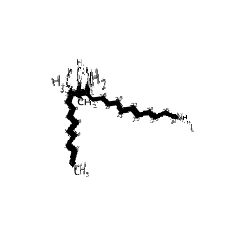 CC=CCCC=CCCC=C(C)C(C)(C)C(N)CCCCCCCCCCCN